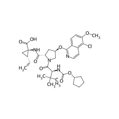 C=C[C@@H]1C[C@]1(NC(=O)[C@@H]1C[C@@H](Oc2nccc3c(Cl)c(OC)ccc23)CN1C(=O)[C@@H](NC(=O)OC1CCCC1)C(C)(C)C)C(=O)O